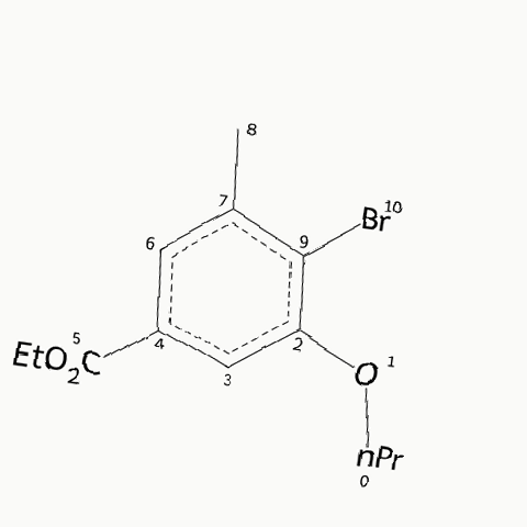 CCCOc1cc(C(=O)OCC)cc(C)c1Br